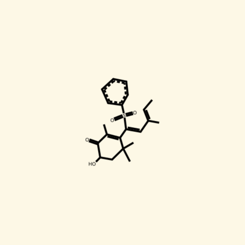 CC=C(C)C=C(C1=C(C)C(=O)C(O)CC1(C)C)S(=O)(=O)c1ccccc1